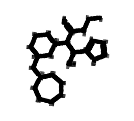 CCOC(=O)C(C(O)c1cccs1)N1CCCC(CN2CCCCCC2)C1